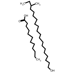 CCC(C)CCCCCCCCCCCCCCCCCO.CCCCCCCCCCCC(=O)O